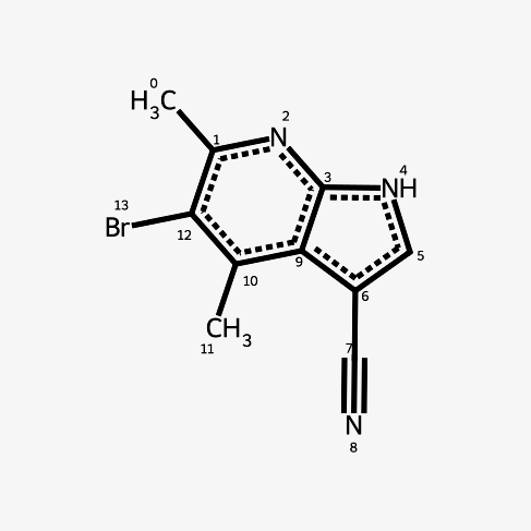 Cc1nc2[nH]cc(C#N)c2c(C)c1Br